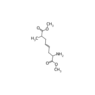 COC(=O)C(C)CC=CCC(N)C(=O)OC